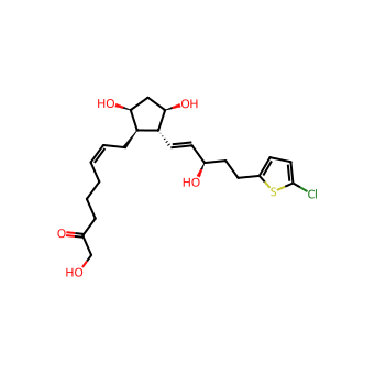 O=C(CO)CCC/C=C\C[C@@H]1[C@@H](/C=C/[C@H](O)CCc2ccc(Cl)s2)[C@H](O)C[C@@H]1O